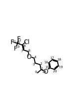 CC(CCCOC/C=C(\Cl)C(F)(F)F)Oc1ccccc1